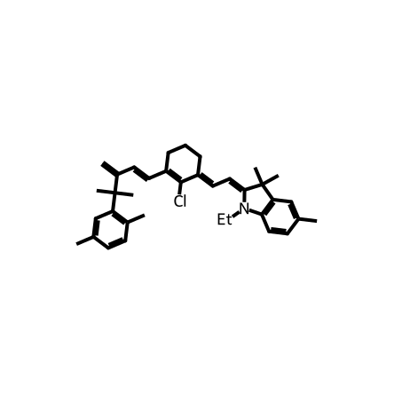 C=C(/C=C/C1=C(Cl)C(=C/C=C2\N(CC)c3ccc(C)cc3C2(C)C)/CCC1)C(C)(C)c1cc(C)ccc1C